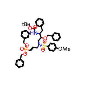 COc1ccc(S(=O)(=O)N(CC=CP(=O)(OCc2ccccc2)OCc2ccccc2)CC(OCc2ccccc2)C(Cc2ccccc2)NC(=O)OC(C)(C)C)cc1